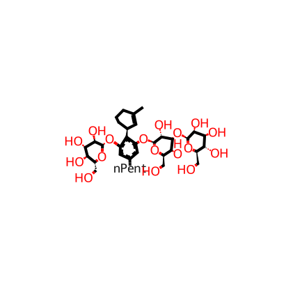 CCCCCc1cc(O[C@@H]2O[C@H](CO)[C@@H](O)[C@H](O)[C@H]2O)c([C@@H]2C=C(C)CCC2)c(O[C@@H]2O[C@H](CO)[C@@H](O)[C@H](O[C@@H]3O[C@H](CO)[C@@H](O)[C@H](O)[C@H]3O)[C@H]2O)c1